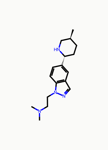 C[C@H]1CC[C@H](c2ccc3c(cnn3CCN(C)C)c2)NC1